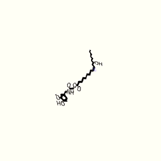 CCCCCCC(O)C/C=C\CCCCCCCC(=O)OCC(=O)NCc1ccc(O)c(OC)c1